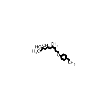 CCc1ccc(OCCC=C(C)CCCC(C)(O)CC)cc1